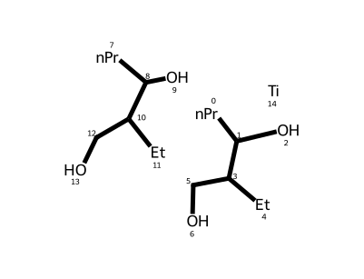 CCCC(O)C(CC)CO.CCCC(O)C(CC)CO.[Ti]